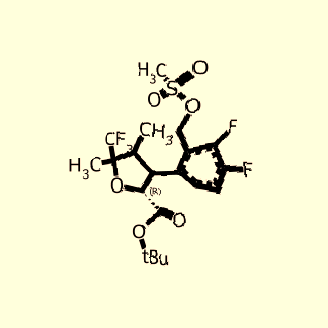 CC1C(c2ccc(F)c(F)c2COS(C)(=O)=O)[C@H](C(=O)OC(C)(C)C)OC1(C)C(F)(F)F